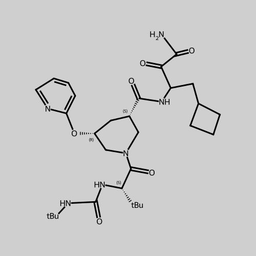 CC(C)(C)NC(=O)N[C@H](C(=O)N1C[C@H](Oc2ccccn2)C[C@H](C(=O)NC(CC2CCC2)C(=O)C(N)=O)C1)C(C)(C)C